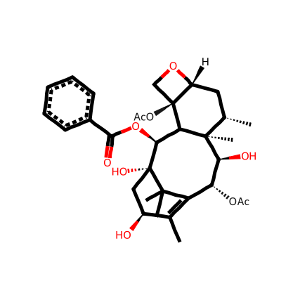 CC(=O)O[C@@H]1C2=C(C)[C@@H](O)C[C@@](O)([C@@H](OC(=O)c3ccccc3)C3[C@@](C)([C@@H](C)C[C@H]4OC[C@@]34OC(C)=O)[C@H]1O)C2(C)C